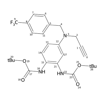 C#CCN(Cc1ccc(C(F)(F)F)cc1)c1ccc(NC(=O)OC(C)(C)C)c(NC(=O)OC(C)(C)C)c1